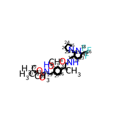 COc1cc(C(C)C(=O)NCc2ccc(C(F)(F)F)nc2N2CCCC2)ccc1CNC(=O)OC(C)(C)C